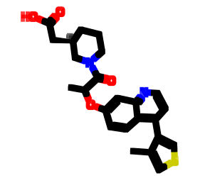 Cc1cscc1-c1ccnc2cc(OC(C)C(=O)N3CCC[C@H](CC(=O)O)C3)ccc12